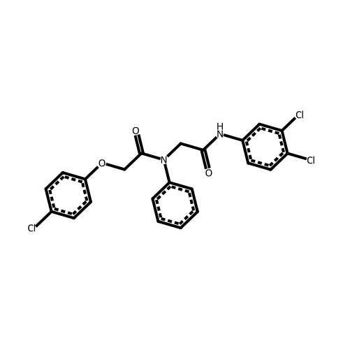 O=C(CN(C(=O)COc1ccc(Cl)cc1)c1ccccc1)Nc1ccc(Cl)c(Cl)c1